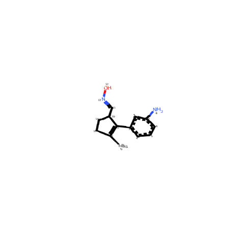 CCCCC1=C(c2cccc(N)c2)C(C=NO)CC1